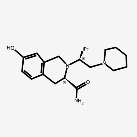 CC(C)[C@@H](CN1CCCCC1)N1Cc2cc(O)ccc2C[C@@H]1C(N)=O